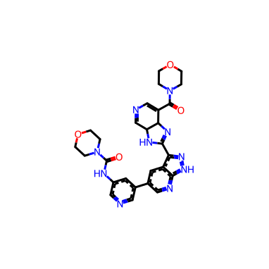 O=C(Nc1cncc(-c2cnc3[nH]nc(C4=NC5C(C(=O)N6CCOCC6)=CN=CC5N4)c3c2)c1)N1CCOCC1